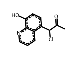 CC(=O)C(Cl)c1ccc(O)c2ncccc12